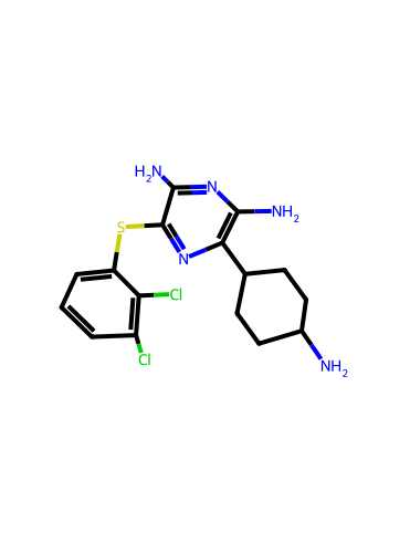 Nc1nc(N)c(C2CCC(N)CC2)nc1Sc1cccc(Cl)c1Cl